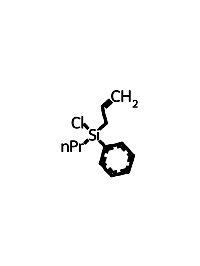 C=CC[Si](Cl)(CCC)c1ccccc1